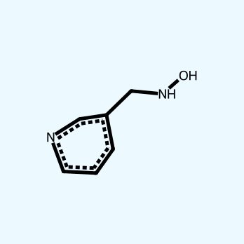 ONCc1cccnc1